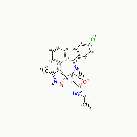 CCNC(=O)CC1(C)N=C(c2ccc(Cl)cc2)c2ccccc2-c2c(C)noc21